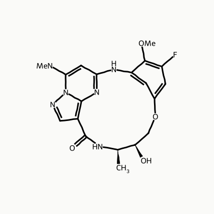 CNc1cc2nc3c(cnn13)C(=O)N[C@H](C)[C@H](O)COc1cc(F)c(OC)c(c1)N2